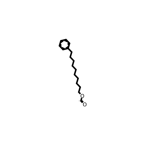 O=[C]OCCCCCCCCCCc1ccccc1